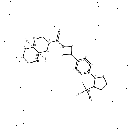 O=C(N1CC(c2ccc(N3CCCC3C(F)(F)F)cc2)C1)N1CC[C@@H]2OCCN[C@@H]2C1